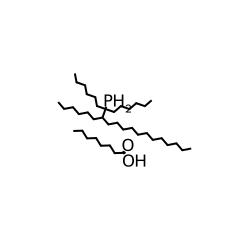 CCCCCCCC(=O)O.CCCCCCCCCCCCC(CCCCCC)C(P)(CCCCCC)CCCCCC